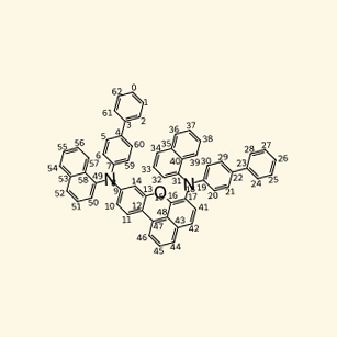 c1ccc(-c2ccc(N(c3ccc4c(c3)Oc3c(N(c5ccc(-c6ccccc6)cc5)c5cccc6ccccc56)ccc5cccc-4c35)c3cccc4ccccc34)cc2)cc1